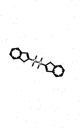 C[Si](C)(C1=Cc2ccccc2[CH]1)[Si](C)(C)C1=Cc2ccccc2[CH]1